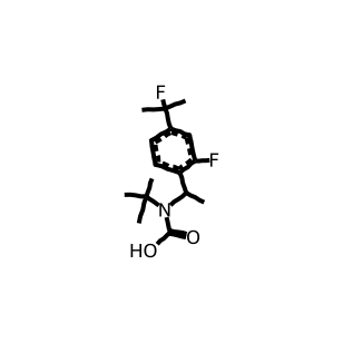 CC(c1ccc(C(C)(C)F)cc1F)N(C(=O)O)C(C)(C)C